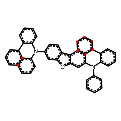 c1ccc(-c2ccccc2N(c2ccccc2)c2ccc3c(c2)oc2cc(N(c4ccccc4)c4ccccc4-c4ccccc4)c4ccccc4c23)cc1